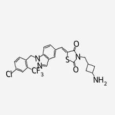 NC1CC(CN2C(=O)SC(=Cc3ccc4c(cnn4Cc4ccc(Cl)cc4C(F)(F)F)c3)C2=O)C1